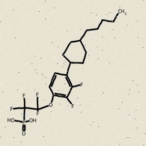 CCCCCC1CCC(c2ccc(OC(F)(F)C(F)(F)P(=O)(O)O)c(F)c2F)CC1